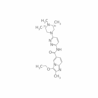 CCOc1c(C)nc2ccc(C(=O)Nc3ccc(N4C[C@@H](C)N(C)[C@@H](C)C4)nn3)cn12